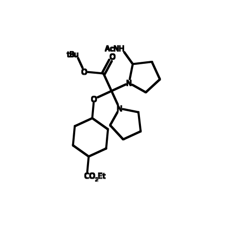 CCOC(=O)C1CCC(OC(C(=O)OC(C)(C)C)(N2CCCC2)N2CCCC2NC(C)=O)CC1